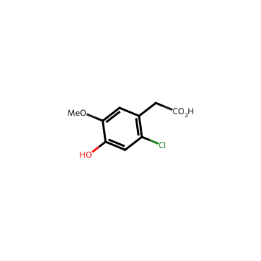 COc1cc(CC(=O)O)c(Cl)cc1O